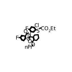 CCCOC(=O)C1=C(C(=O)N(C(=O)c2cccc(F)c2)c2cc(SCC(=O)OCC)c(Cl)cc2F)CCCC1